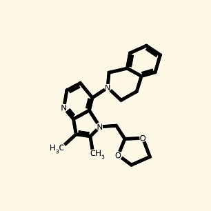 Cc1c(C)n(CC2OCCO2)c2c(N3CCc4ccccc4C3)ccnc12